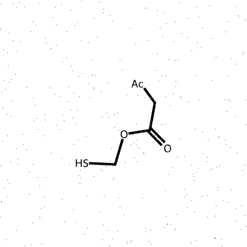 CC(=O)CC(=O)OCS